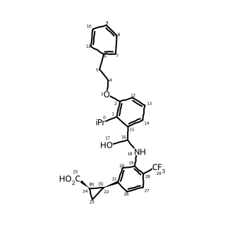 CC(C)c1c(OCCc2ccccc2)cccc1C(O)Nc1cc([C@H]2C[C@H]2C(=O)O)ccc1C(F)(F)F